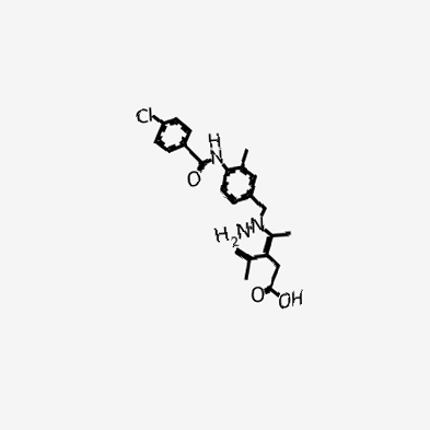 C=C(C)/C(CC(=O)O)=C(/C)N(N)Cc1ccc(NC(=O)c2ccc(Cl)cc2)c(C)c1